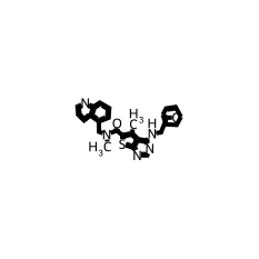 Cc1c(C(=O)N(C)Cc2cccc3ncccc23)sc2ncnc(NCC3CC4C=CC3CC4)c12